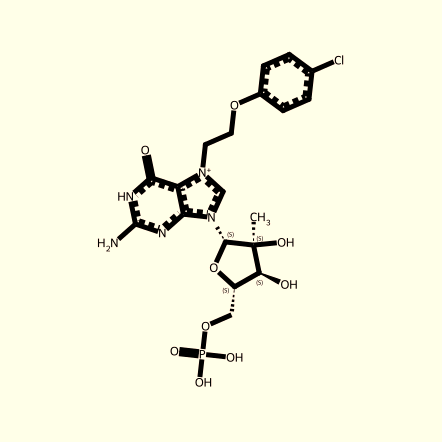 C[C@@]1(O)[C@@H](n2c[n+](CCOc3ccc(Cl)cc3)c3c(=O)[nH]c(N)nc32)O[C@@H](COP(=O)(O)O)[C@@H]1O